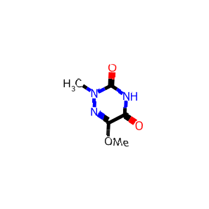 COc1nn(C)c(=O)[nH]c1=O